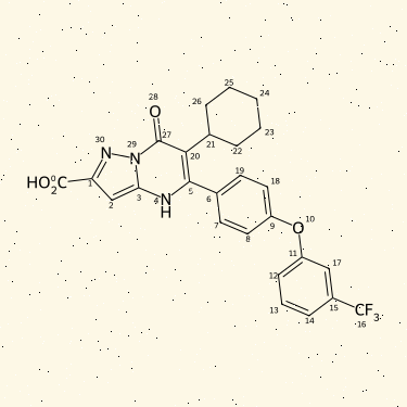 O=C(O)c1cc2[nH]c(-c3ccc(Oc4cccc(C(F)(F)F)c4)cc3)c(C3CCCCC3)c(=O)n2n1